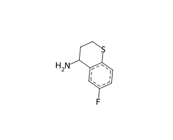 NC1CCSc2ccc(F)cc21